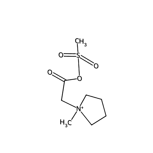 C[N+]1(CC(=O)OS(C)(=O)=O)CCCC1